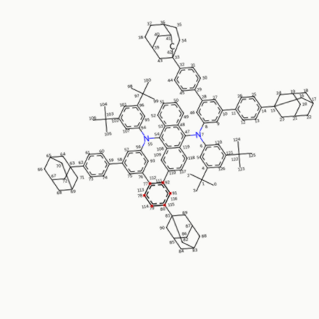 CC(C)(C)c1cc(N(c2cc(-c3ccc(C45CC6CC(CC(C6)C4)C5)cc3)cc(-c3ccc(C45CCC6CCC(CC6C4)C5)cc3)c2)c2c3ccccc3c(N(c3cc(-c4ccc(C56CC7CC(CC(C7)C5)C6)cc4)cc(-c4ccc(C56CC7CC(CC(C7)C5)C6)cc4)c3)c3cc(C(C)(C)C)cc(C(C)(C)C)c3)c3cc(-c4ccccc4)ccc23)cc(C(C)(C)C)c1